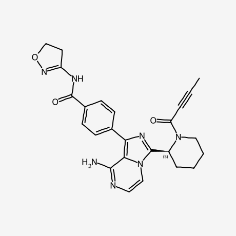 CC#CC(=O)N1CCCC[C@H]1c1nc(-c2ccc(C(=O)NC3=NOCC3)cc2)c2c(N)nccn12